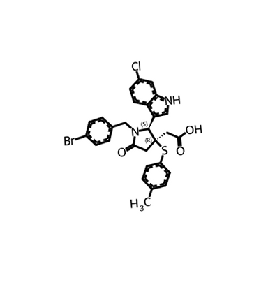 Cc1ccc(S[C@@]2(CC(=O)O)CC(=O)N(Cc3ccc(Br)cc3)[C@H]2c2c[nH]c3cc(Cl)ccc23)cc1